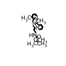 Cc1cccnc1CN(CC=CCNC(=O)OC(C)(C)C)C(C)c1ccccn1